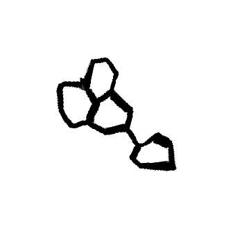 c1ccc(-c2cc3c4c(c2)CCCN4CCC3)cc1